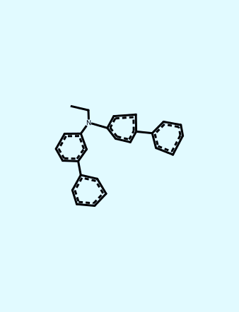 CCN(c1ccc(-c2ccccc2)cc1)c1cccc(-c2ccccc2)c1